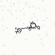 CC(C)=C/C(F)=C\N(C=O)CCCCNC(=O)c1cnc(N2CCCC2)ccn(C)nc1